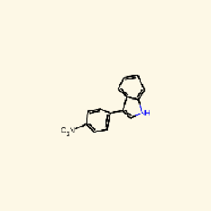 O=[N+]([O-])c1ccc(-c2c[nH]c3ccccc23)cc1